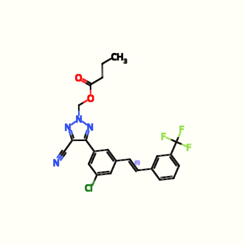 CCCC(=O)OCn1nc(C#N)c(-c2cc(Cl)cc(/C=C/c3cccc(C(F)(F)F)c3)c2)n1